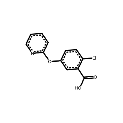 O=C(O)c1cc(Oc2ccccn2)ccc1Cl